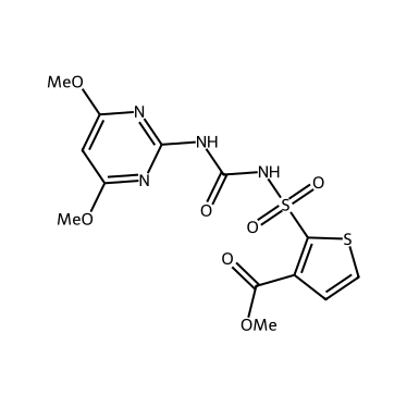 COC(=O)c1ccsc1S(=O)(=O)NC(=O)Nc1nc(OC)cc(OC)n1